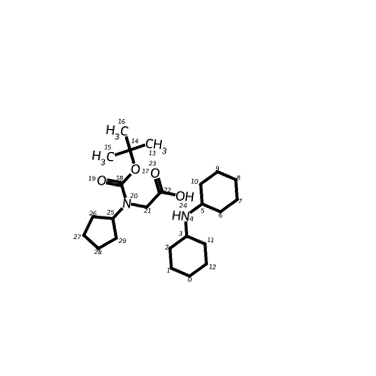 C1CCC(NC2CCCCC2)CC1.CC(C)(C)OC(=O)N(CC(=O)O)C1CCCC1